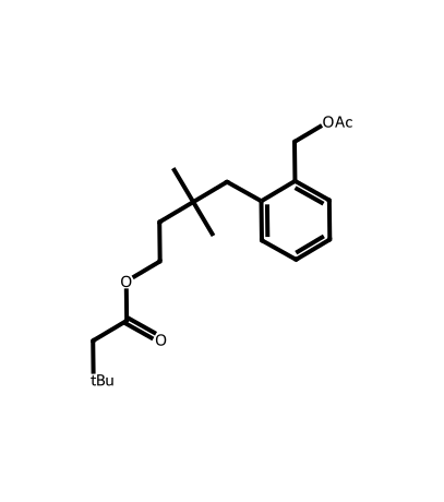 CC(=O)OCc1ccccc1CC(C)(C)CCOC(=O)CC(C)(C)C